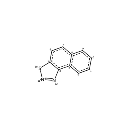 c1ccc2c3c(ccc2c1)S[N+]=N3